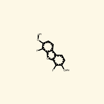 CCCOc1ccc2c(oc3c(F)c(OC)ccc32)c1F